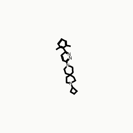 Cc1cccc(C)c1-c1ccc(N2CCC3(CC2)CCN(C2CCC2)CC3)nn1